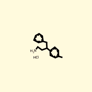 Cc1ccc(C(CCN)Cc2ccccc2)cc1.Cl